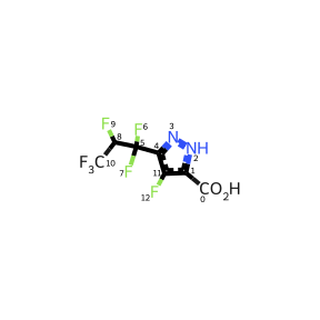 O=C(O)c1[nH]nc(C(F)(F)C(F)C(F)(F)F)c1F